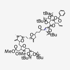 C=CCC1O[C@@H]([C@H](/C=C/C(=O)CCC2CC(=C)[C@H](CC[C@H]3C[C@@H](C)C(=C)C(CC4OC(C[C@@H](CO[Si](C)(C)C(C)(C)C)O[Si](C)(C)C(C)(C)C)[C@H](OC)C4CC(=O)OC)O3)O2)O[Si](C)(C)C(C)(C)C)C(O[Si](C)(C)C(C)(C)C)C(O[Si](C)(C)C(C)(C)C)[C@H]1OC(=O)c1ccccc1